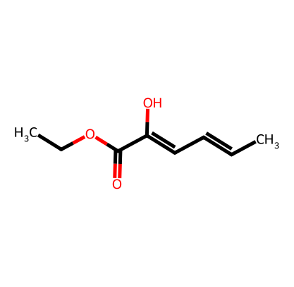 CC=CC=C(O)C(=O)OCC